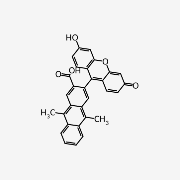 Cc1c2ccccc2c(C)c2cc(-c3c4ccc(=O)cc-4oc4cc(O)ccc34)c(C(=O)O)cc12